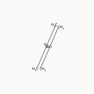 CCCCCCCCCCCCCCCCCC(=O)OCCCCCCCCCCCCCCCC.CCCCCCCCCCCCCCCCCCOC(=O)CCCCCCCCCCCCCCCCC